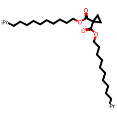 CC(C)CCCCCCCCCCOC(=O)C1(C(=O)OCCCCCCCCCCC(C)C)CC1